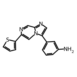 Nc1cccc(-c2cnc3cnc(-c4cccs4)cn23)c1